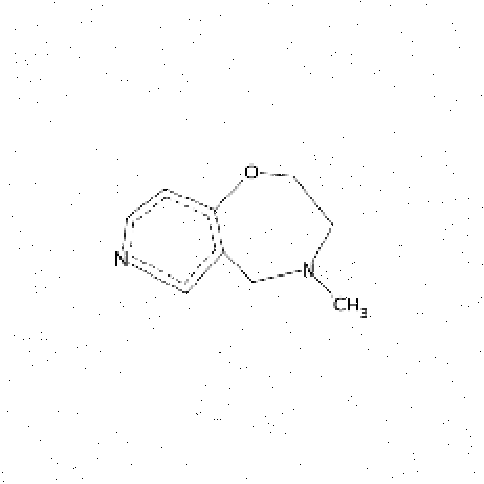 CN1CCOc2ccncc2C1